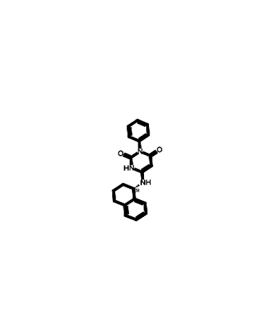 O=c1cc(N[C@H]2CCCc3ccccc32)[nH]c(=O)n1-c1ccccc1